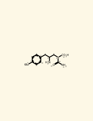 CC(C)(C)c1ccc(CC(N)CN(C(N)=O)C(=O)O)cc1